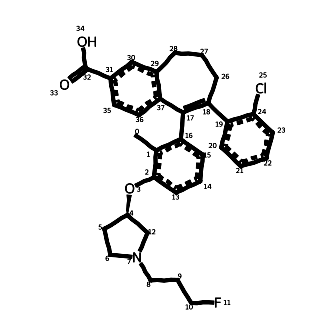 Cc1c(O[C@@H]2CCN(CCCF)C2)cccc1C1=C(c2ccccc2Cl)CCCc2cc(C(=O)O)ccc21